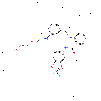 O=C(Nc1ccc2c(c1)OC(F)(F)O2)c1ccccc1NCc1ccnc(NCCOCCO)c1